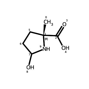 C[C@]1(C(=O)O)CCC(O)N1